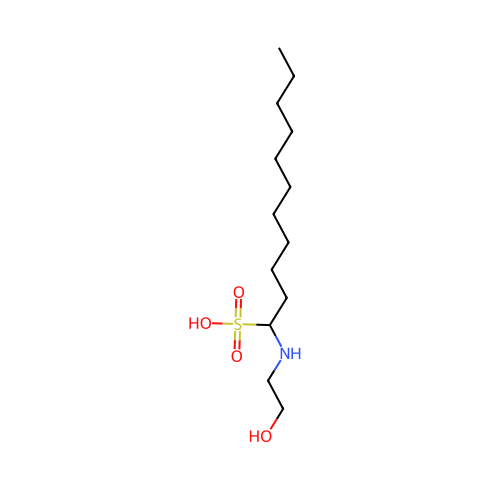 CCCCCCCCCCC(NCCO)S(=O)(=O)O